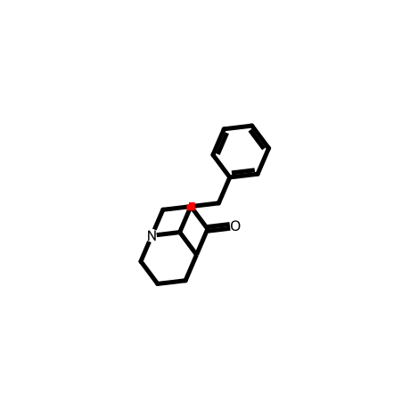 O=C1CCN2CCCC1C2CCc1ccccc1